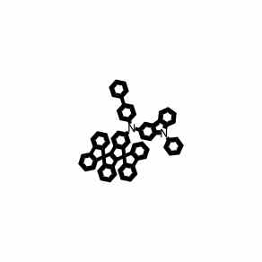 c1ccc(-c2ccc(N(c3ccc4c(c3)C3(C5=C4C4(c6ccccc65)c5ccccc5-c5ccccc54)c4ccccc4-c4ccccc43)c3ccc4c(c3)c3ccccc3n4-c3ccccc3)cc2)cc1